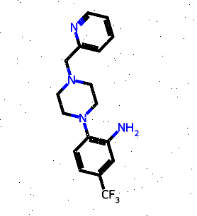 Nc1cc(C(F)(F)F)ccc1N1CCN(Cc2ccccn2)CC1